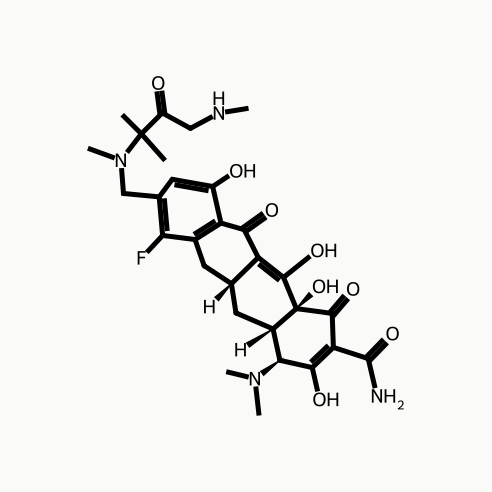 CNCC(=O)C(C)(C)N(C)Cc1cc(O)c2c(c1F)C[C@H]1C[C@H]3[C@H](N(C)C)C(O)=C(C(N)=O)C(=O)[C@@]3(O)C(O)=C1C2=O